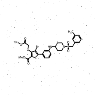 COC(=O)c1sc(-c2cccc(NC3CCN(S(=O)(=O)Cc4cccc(C)c4)CC3)c2)c(Br)c1OCC(=O)OC(C)(C)C